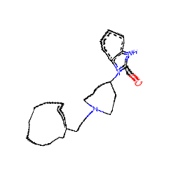 O=c1[nH]c2ccccc2n1C1CCN(CC2=CCCCCCC2)CC1